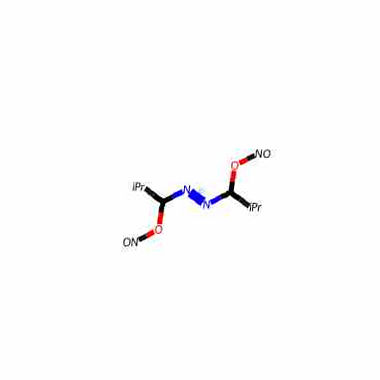 CC(C)C(/N=N/C(ON=O)C(C)C)ON=O